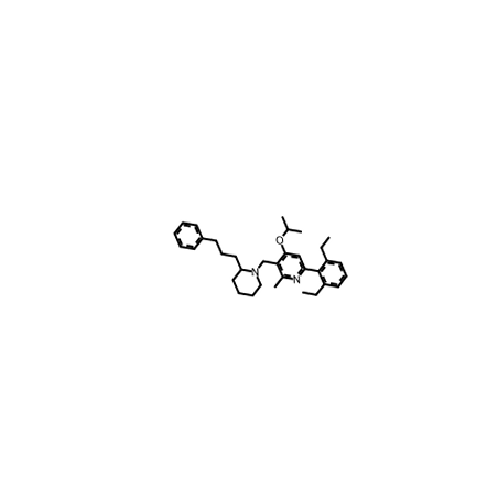 CCc1cccc(CC)c1-c1cc(OC(C)C)c(CN2CCCCC2CCCc2ccccc2)c(C)n1